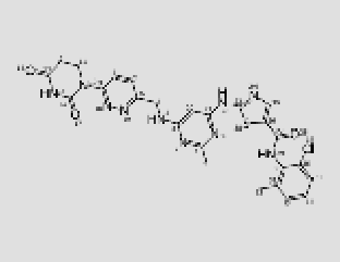 Cc1nc(NCc2ccc(N3CCC(=O)NC3=O)nn2)cc(Nc2ncc(C(=O)Nc3c(C)cccc3Cl)s2)n1